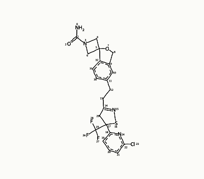 NC(=O)N1CC2(C1)OCc1cc(CCC3=NSC(c4cccc(Cl)n4)(C(F)(F)F)C3)ccc12